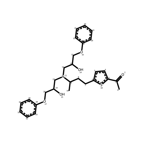 CC(=O)c1ccc(CCC(C)N(CC(O)COc2ccccc2)CC(O)COc2ccccc2)s1